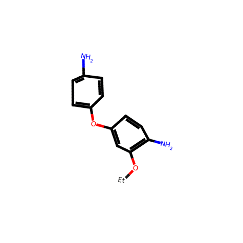 CCOc1cc(Oc2ccc(N)cc2)ccc1N